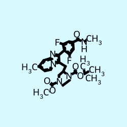 CNC(=O)c1cc(F)c(-c2nc3cc(C)ccn3c2CC2CN(C(=O)OC)CCN2C(=O)OC(C)(C)C)c(F)c1